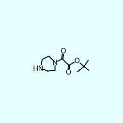 CC(C)(C)OC(=O)C(=O)N1CCNCC1